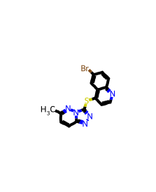 Cc1ccc2nnc(Sc3ccnc4ccc(Br)cc34)n2n1